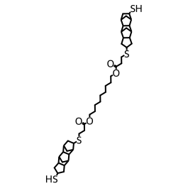 O=C(CCSC1CC2C(C1)C1CC2C2C3CC(S)C(C3)C12)OCCCCCCCCCOC(=O)CCSC1CC2CC1C1C3CC(C4CC(S)CC43)C21